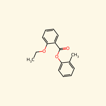 CCOc1ccccc1C(=O)Oc1ccccc1C